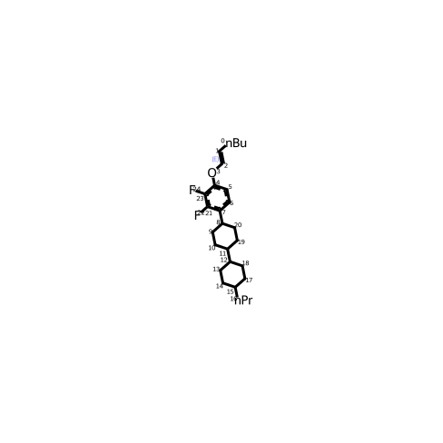 CCCC/C=C/Oc1ccc(C2CCC(C3CCC(CCC)CC3)CC2)c(F)c1F